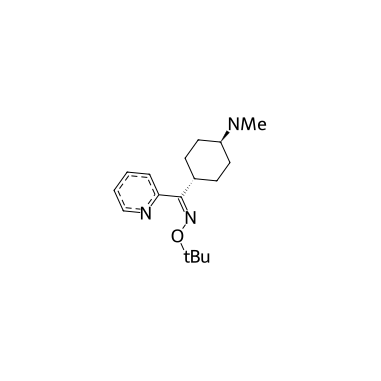 CN[C@H]1CC[C@H](/C(=N/OC(C)(C)C)c2ccccn2)CC1